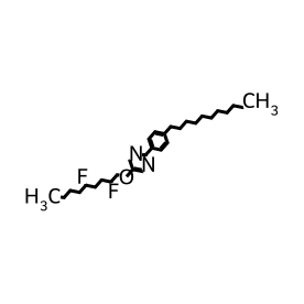 CCCCCCCCCCCc1ccc(-c2ncc(OCC(F)CCC(F)CCCC)cn2)cc1